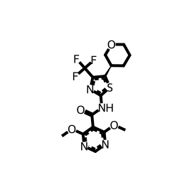 COc1ncnc(OC)c1C(=O)Nc1nc(C(F)(F)F)c([C@@H]2CCCOC2)s1